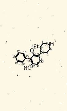 CCOc1c(N2CCNCC2)ncc(C#N)c1-c1ccccc1